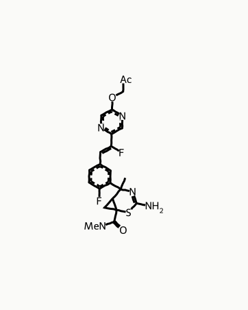 CNC(=O)C12CC1C(C)(c1cc(C=C(F)c3cnc(OCC(C)=O)cn3)ccc1F)N=C(N)S2